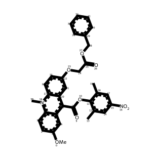 COc1ccc2c(c1)c(C(=O)Oc1c(C)cc([N+](=O)[O-])cc1C)c1cc(OCC(=O)OCc3ccccc3)ccc1[n+]2C